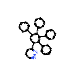 c1ccc(-c2cc(-c3cccnn3)c(-c3ccccc3)c(-c3ccccc3)c2-c2ccccc2)cc1